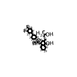 C=C(O)CSc1cc(NS(=O)(=O)c2ccc(-c3ccc(F)c(F)c3)cc2)c2ccccc2c1O